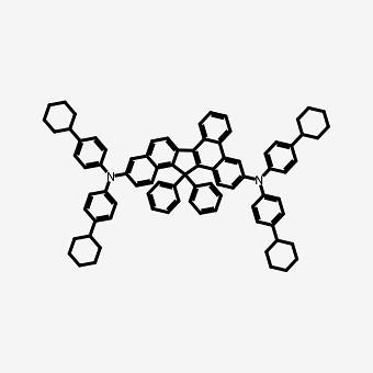 c1ccc(C2(c3ccccc3)c3c(ccc4cc(N(c5ccc(C6CCCCC6)cc5)c5ccc(C6CCCCC6)cc5)ccc34)-c3c2c2ccc(N(c4ccc(C5CCCCC5)cc4)c4ccc(C5CCCCC5)cc4)cc2c2ccccc32)cc1